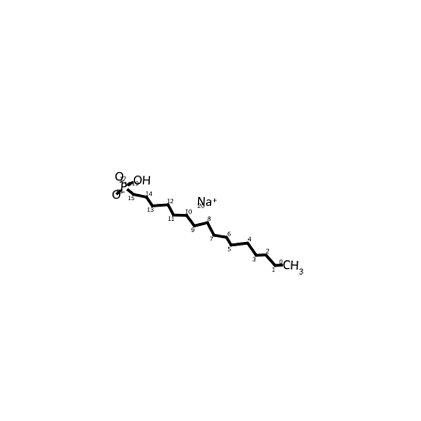 CCCCCCCCCCCCCCCCP(=O)([O-])O.[Na+]